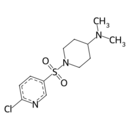 CN(C)C1CCN(S(=O)(=O)c2ccc(Cl)nc2)CC1